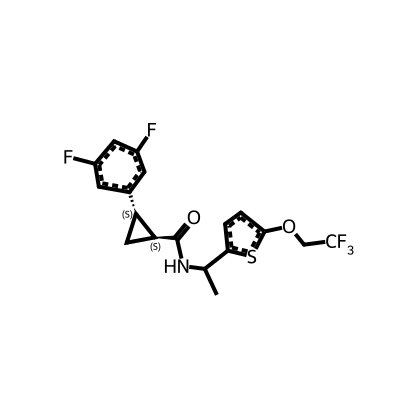 CC(NC(=O)[C@H]1C[C@@H]1c1cc(F)cc(F)c1)c1ccc(OCC(F)(F)F)s1